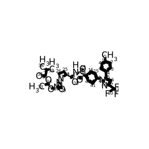 Cc1ccc(-c2cc(C(F)(F)F)nn2-c2ccc(S(=O)(=O)NC(=O)[C@@H]3CCN3n3on3OC(C)OC(=O)C(C)C)cc2)cc1